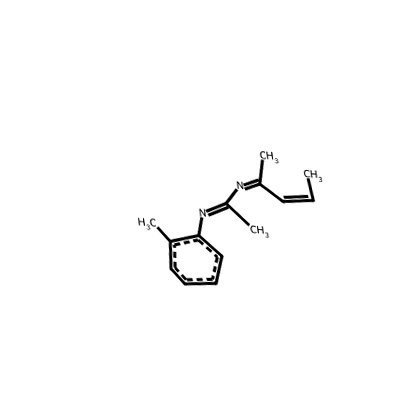 C\C=C/C(C)=N\C(C)=N\c1ccccc1C